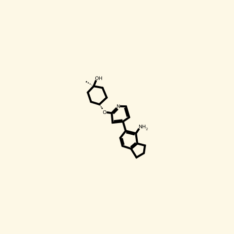 C[C@]1(O)CC[C@H](Oc2cc(-c3ccc4c(c3N)CCC4)ccn2)CC1